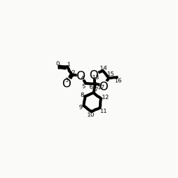 C=CC(=O)OCC1(C2CCCCC2)OCC(C)O1